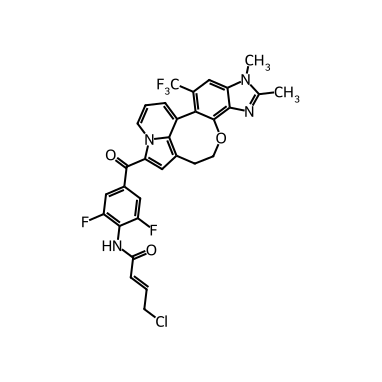 Cc1nc2c3c(c(C(F)(F)F)cc2n1C)-c1cccn2c(C(=O)c4cc(F)c(NC(=O)/C=C/CCl)c(F)c4)cc(c12)CCO3